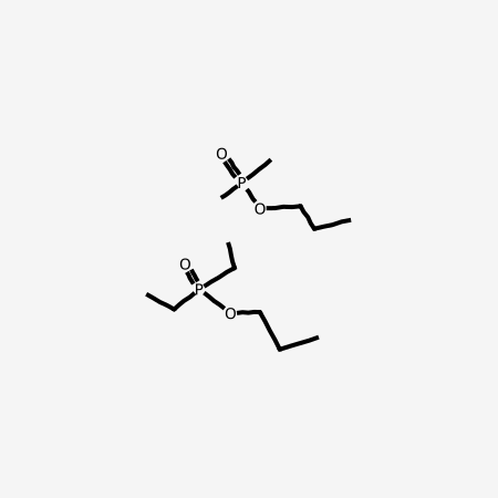 CCCOP(=O)(CC)CC.CCCOP(C)(C)=O